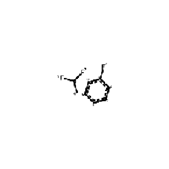 CC(F)F.Fc1ccccc1